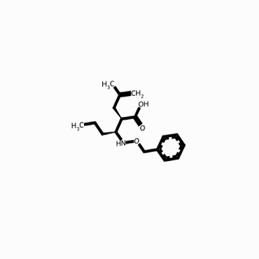 C=C(C)C[C@@H](C(=O)O)[C@H](CCC)NOCc1ccccc1